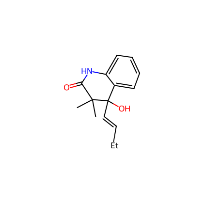 CCC=CC1(O)c2ccccc2NC(=O)C1(C)C